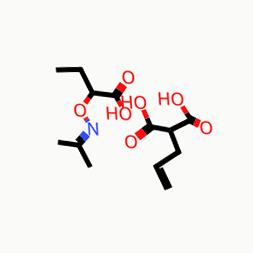 C=CCC(C(=O)O)C(=O)O.CCC(ON=C(C)C)C(=O)O